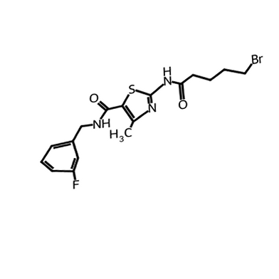 Cc1nc(NC(=O)CCCCBr)sc1C(=O)NCc1cccc(F)c1